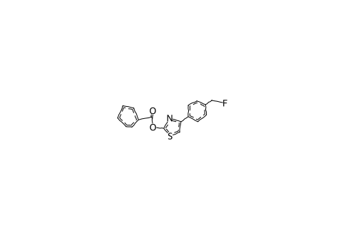 O=C(Oc1nc(-c2ccc(CF)cc2)cs1)c1ccccc1